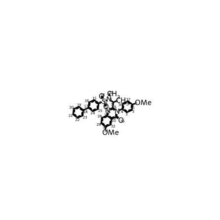 COc1ccc(-n2c(C(C)N(C)S(=O)(=O)c3ccc(-c4ccccc4)cc3)nc3ccc(OC)cc3c2=O)cc1